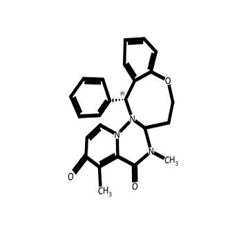 Cc1c2n(ccc1=O)N1C(CCOc3ccccc3[C@H]1c1ccccc1)N(C)C2=O